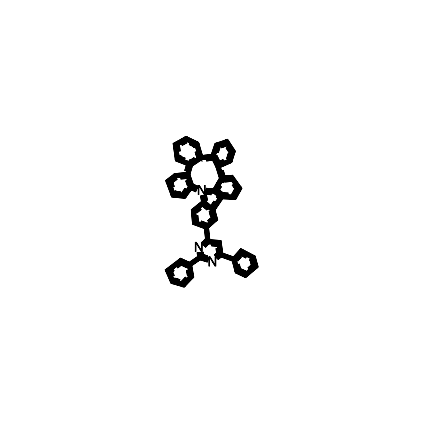 c1ccc(-c2cc(-c3ccc4c(c3)c3cccc5c6ccccc6c6ccccc6c6ccccc6n4c53)nc(-c3ccccc3)n2)cc1